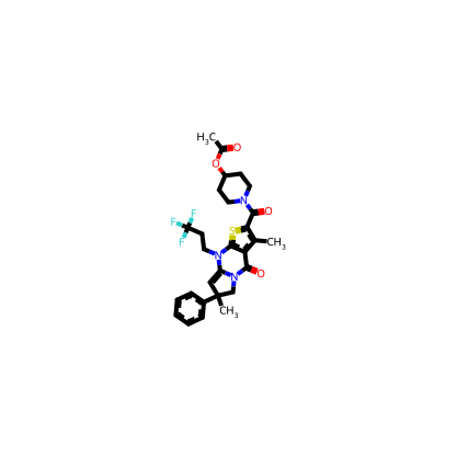 CC(=O)OC1CCN(C(=O)c2sc3c(c2C)C(=O)N2CC(C)(c4ccccc4)C=C2N3CCC(F)(F)F)CC1